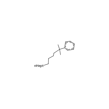 CCCCCCCCCCCC(C)(C)c1ccccc1